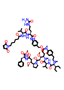 CCC(CC)[C@@H](C(=O)N[C@H](C(=O)N(C)[C@@H]([C@@H](C)CC)[C@@H](CC(=O)N1CCC[C@H]1[C@H](OC)[C@@H](C)C(=O)N[C@@H](Cc1ccccc1)C(=O)OC)OC)C(C)C)N(C)CCc1ccc(N(C)C(=O)OCc2ccc(NC(=O)[C@H](CCCNC(N)=O)NC(=O)[C@@H](NC(=O)CCCCCN3C(=O)C=CC3=O)C(C)C)cc2)cc1